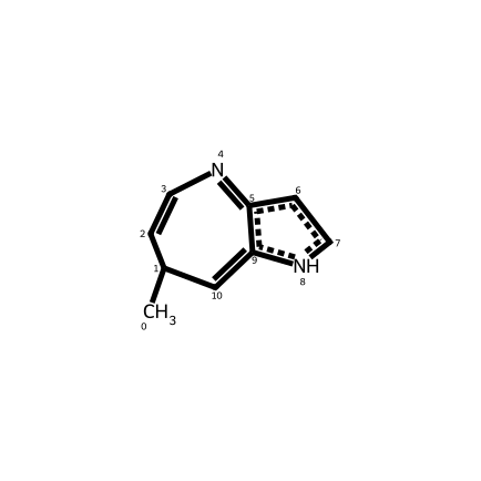 CC1C=CN=c2cc[nH]c2=C1